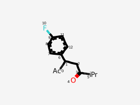 CC(=O)C(CC(=O)C(C)C)c1ccc(F)cc1